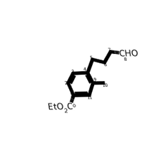 CCOC(=O)c1ccc(CCCC=O)c(C)c1